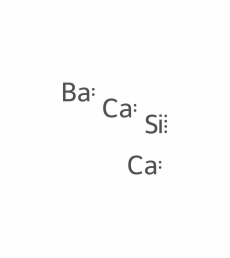 [Ba].[Ca].[Ca].[Si]